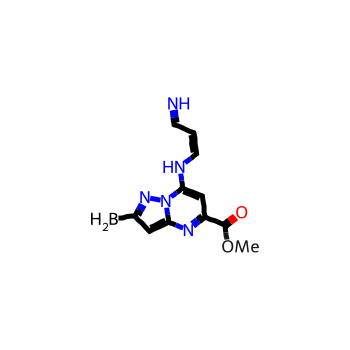 Bc1cc2nc(C(=O)OC)cc(N/C=C\C=N)n2n1